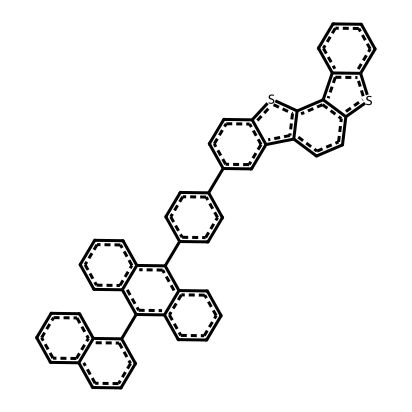 c1ccc2c(-c3c4ccccc4c(-c4ccc(-c5ccc6sc7c(ccc8sc9ccccc9c87)c6c5)cc4)c4ccccc34)cccc2c1